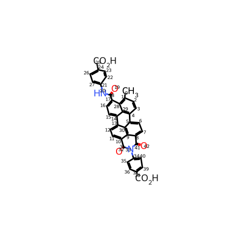 Cc1ccc2c3ccc4c5c(ccc(c6ccc(C(=O)Nc7ccc(C(=O)O)cc7)c1c26)c53)C(=O)N(c1ccc(C(=O)O)cc1)C4=O